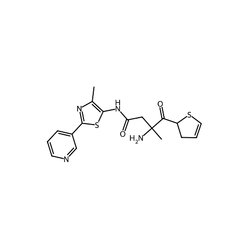 Cc1nc(-c2cccnc2)sc1NC(=O)CC(C)(N)C(=O)C1CC=CS1